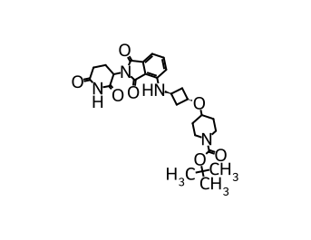 CC(C)(C)OC(=O)N1CCC(O[C@H]2C[C@H](Nc3cccc4c3C(=O)N(C3CCC(=O)NC3=O)C4=O)C2)CC1